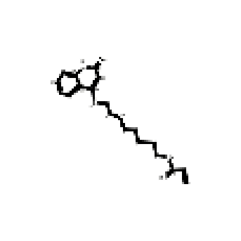 C=CC(=O)OCCCCCCCCSc1cc(=S)oc2ccccc12